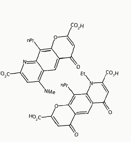 CCCc1c2nc(C(=O)O)cc(NC)c2cc2c(=O)cc(C(=O)O)oc12.CCCc1c2oc(C(=O)O)cc(=O)c2cc2c(=O)cc(C(=O)O)n(CC)c12